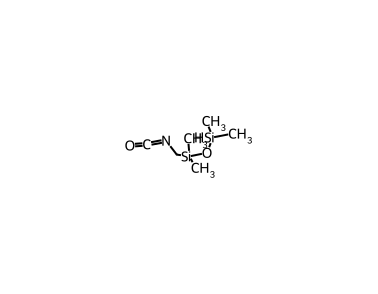 C[SiH](C)O[Si](C)(C)CN=C=O